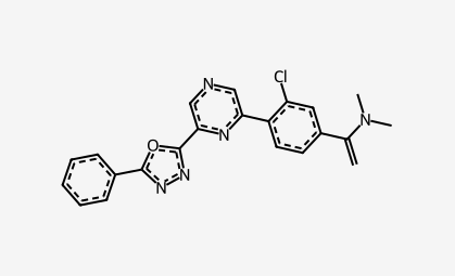 C=C(c1ccc(-c2cncc(-c3nnc(-c4ccccc4)o3)n2)c(Cl)c1)N(C)C